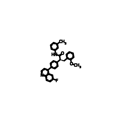 COc1ccccc1C[C@@H](C(=O)Nc1cccc(C)c1)c1ccc(-c2ccnc3ccc(F)cc23)cc1